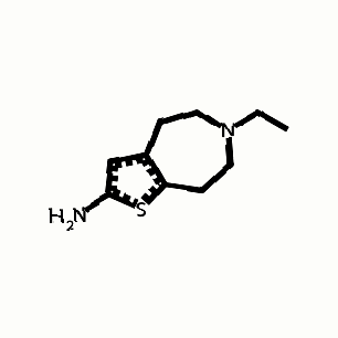 CCN1CCc2cc(N)sc2CC1